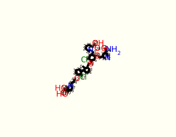 Cc1c(COc2cc(OCc3cncc(C(N)=O)c3)c(CN3CCCC[C@H]3C(=O)O)cc2Cl)cccc1-c1cccc(OCCCN2CCC(CO)(C(=O)O)C2)c1Cl